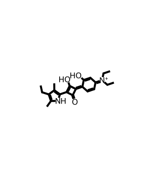 CCc1c(C)[nH]c(C2=C(O)/C(=C3/C=CC(=[N+](CC)CC)C=C3O)C2=O)c1C